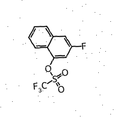 O=S(=O)(Oc1cc(F)cc2ccccc12)C(F)(F)F